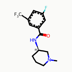 CN1CCC[C@@H](NC(=O)c2cc(F)cc(C(F)(F)F)c2)C1